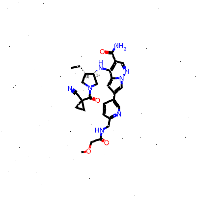 CC[C@H]1CN(C(=O)C2(C#N)CC2)C[C@H]1Nc1c(C(N)=O)cnn2cc(-c3ccc(CNC(=O)COC)nc3)cc12